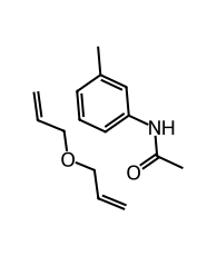 C=CCOCC=C.CC(=O)Nc1cccc(C)c1